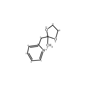 CC1(Cc2ccccn2)OCCO1